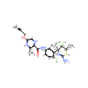 C#CCOc1cnc(C(=O)Nc2ccc(F)c([C@@]3(C)N=C(N)S[C@H](C)C3(F)F)c2)c(C)n1